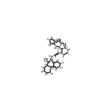 O=C1N=C2CC=CC(C#CCn3c(=O)c4ccccc4c4ccccc43)=C2/C1=C/c1ccc[nH]1